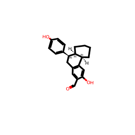 O=Cc1cc2c(cc1O)[C@@H]1CCCC[C@@H]1[C@H](c1ccc(O)cc1)C2